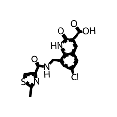 Cc1nc(C(=O)NCc2cc(Cl)cc3cc(C(=O)O)c(=O)[nH]c23)cs1